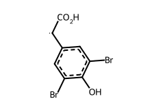 O=C(O)[CH]c1cc(Br)c(O)c(Br)c1